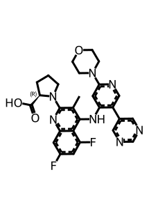 Cc1c(N2CCC[C@@H]2C(=O)O)nc2cc(F)cc(F)c2c1Nc1cc(N2CCOCC2)ncc1-c1cncnc1